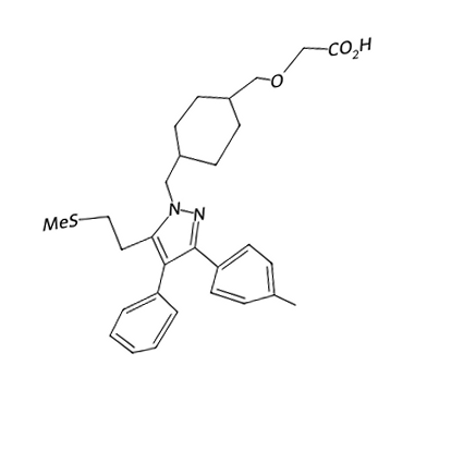 CSCCc1c(-c2ccccc2)c(-c2ccc(C)cc2)nn1CC1CCC(COCC(=O)O)CC1